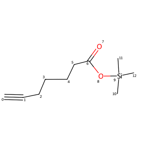 C#CCCCCC(=O)O[Si](C)(C)C